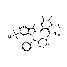 CC\C(C)=C/C(=C\c1c(C)c2cnc(C(C)(C)N)cc2n1C(c1ccccc1)C1CCOCC1)C(=C(\C)N)/N(C)N